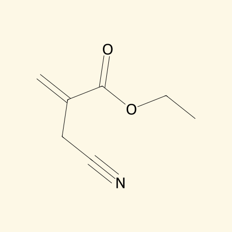 C=C(CC#N)C(=O)OCC